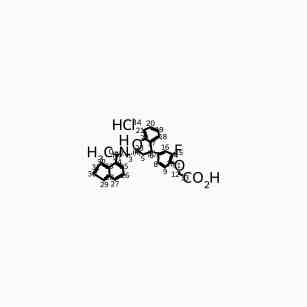 C[C@@H](NC[C@H]1C[C@H](c2ccc(OCC(=O)O)c(F)c2)c2ccccc2O1)c1cccc2ccccc12.Cl